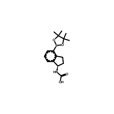 CC1(C)OB(c2cccc3c2CC[C@H]3NC(=O)O)OC1(C)C